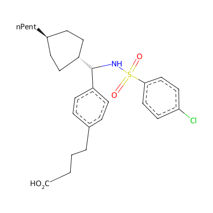 CCCCC[C@H]1CC[C@H](C(NS(=O)(=O)c2ccc(Cl)cc2)c2ccc(CCCC(=O)O)cc2)CC1